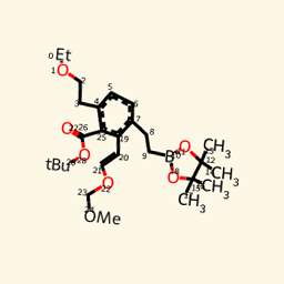 CCOCCc1ccc(CCB2OC(C)(C)C(C)(C)O2)c(C=COCOC)c1C(=O)OC(C)(C)C